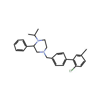 Cc1ccc(Cl)c(-c2ccc(CN3CCN(C(C)C)C(c4ccccc4)C3)cc2)c1